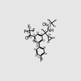 CC(N[S+]([O-])C(C)(C)C)(c1cc(C(=O)C(F)(F)F)nc(-c2ccc(F)cc2)c1)C1CC1